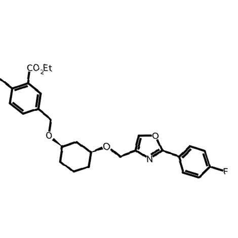 CCOC(=O)c1cc(CO[C@@H]2CCC[C@H](OCc3coc(-c4ccc(F)cc4)n3)C2)ccc1C